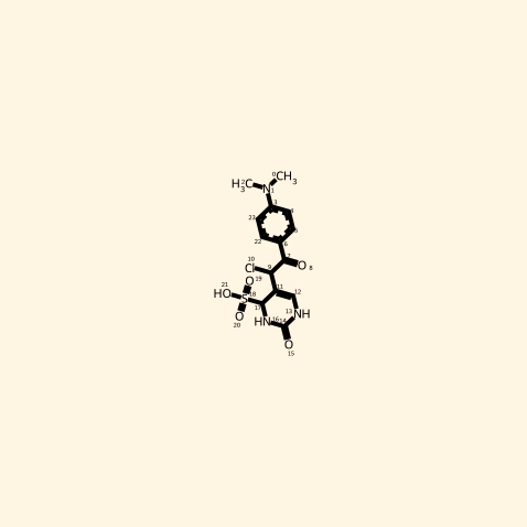 CN(C)c1ccc(C(=O)C(Cl)C2=CNC(=O)NC2S(=O)(=O)O)cc1